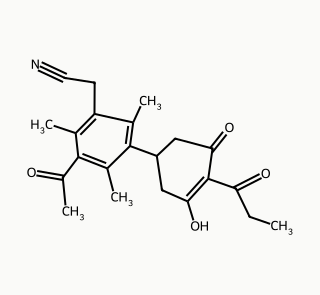 CCC(=O)C1=C(O)CC(c2c(C)c(CC#N)c(C)c(C(C)=O)c2C)CC1=O